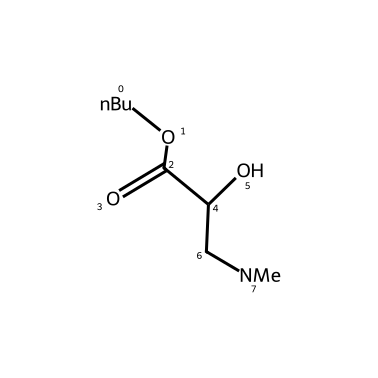 CCCCOC(=O)C(O)CNC